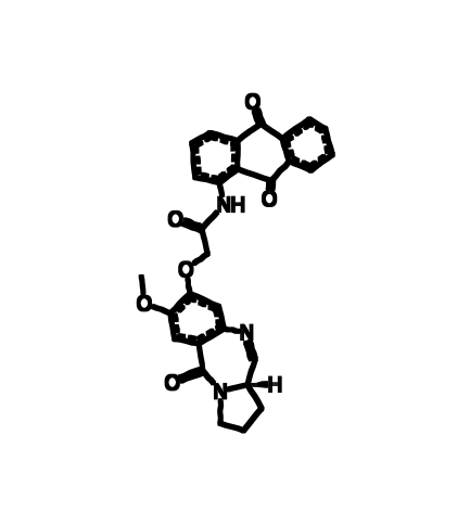 COc1cc2c(cc1OCC(=O)Nc1cccc3c1C(=O)c1ccccc1C3=O)N=C[C@@H]1CCCN1C2=O